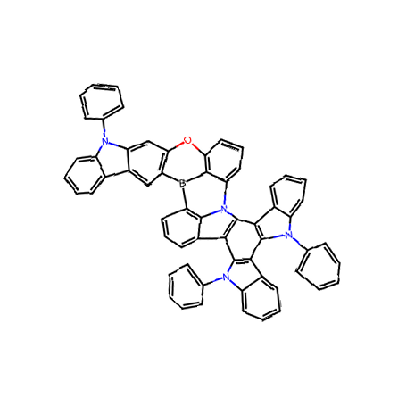 c1ccc(-n2c3ccccc3c3cc4c(cc32)Oc2cccc3c2B4c2cccc4c5c6c(c7ccccc7n6-c6ccccc6)c6c(c7ccccc7n6-c6ccccc6)c5n-3c24)cc1